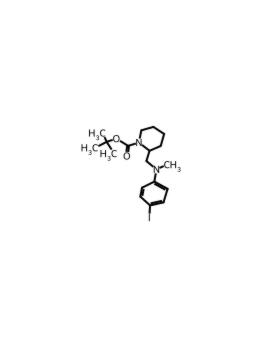 CN(CC1CCCCN1C(=O)OC(C)(C)C)c1ccc(I)cc1